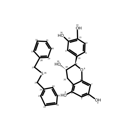 Oc1cc(O)c2c(c1)O[C@H](c1ccc(O)c(O)c1)[C@@H](O)C2.c1ccc(CSCc2ccccc2)cc1